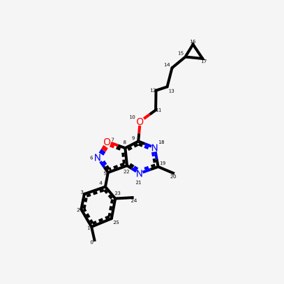 Cc1ccc(-c2noc3c(OCCCCC4CC4)nc(C)nc23)c(C)c1